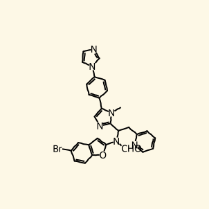 Cn1c(-c2ccc(-n3ccnc3)cc2)cnc1C(Cc1ccccn1)N(C=O)c1cc2cc(Br)ccc2o1